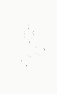 CC(=O)Nc1cccc(-c2ccccc2Cn2cc(O)c(=O)c(C(=O)O)c2)c1